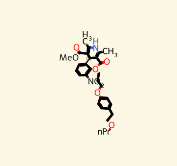 CCCOCCc1ccc(OCCCOC(=O)C2=C(C)NC(C)=C(C(=O)OC)[C@@H]2c2cccc([N+](=O)[O-])c2)cc1